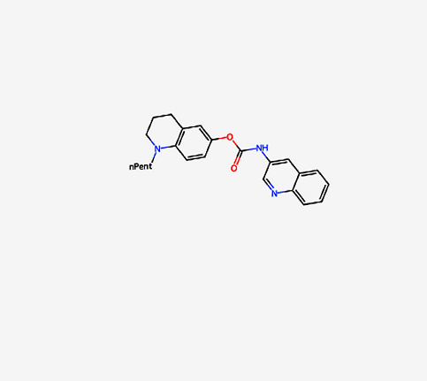 CCCCCN1CCCc2cc(OC(=O)Nc3cnc4ccccc4c3)ccc21